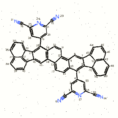 N#Cc1cc(-c2c3c(cc4c2ccc2c5cc6c(c(-c7cc(C#N)nc(C#N)c7)c5ccc42)-c2cccc4cccc-6c24)-c2cccc4cccc-3c24)cc(C#N)n1